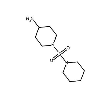 NC1CCN(S(=O)(=O)N2CCCCC2)CC1